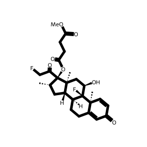 COC(=O)CCC(=O)O[C@]1(C(=O)CF)[C@@H](C)C[C@H]2[C@@H]3CCC4=CC(=O)C=C[C@]4(C)[C@@]3(F)[C@H](O)C[C@@]21C